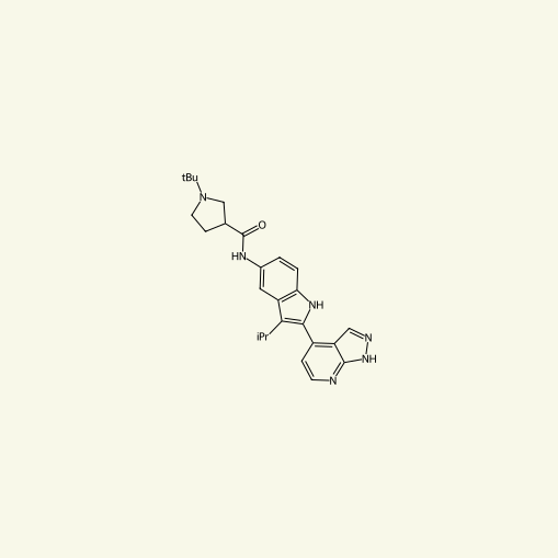 CC(C)c1c(-c2ccnc3[nH]ncc23)[nH]c2ccc(NC(=O)C3CCN(C(C)(C)C)C3)cc12